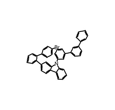 Brc1ccc(-c2ccccc2-c2ccc3c4ccccc4n(-c4cccc(-c5cccc(-c6ccccc6)c5)c4)c3c2)cc1